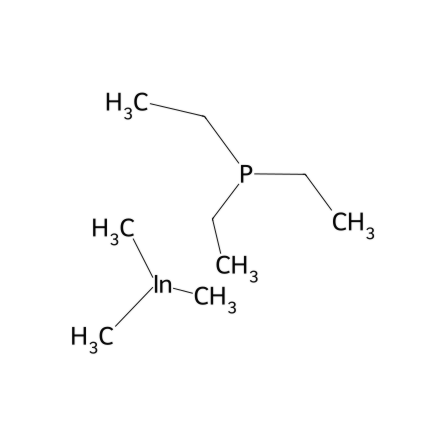 CCP(CC)CC.[CH3][In]([CH3])[CH3]